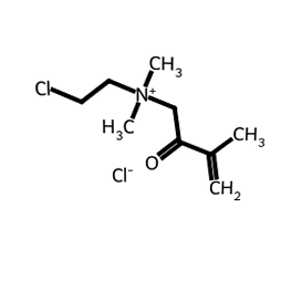 C=C(C)C(=O)C[N+](C)(C)CCCl.[Cl-]